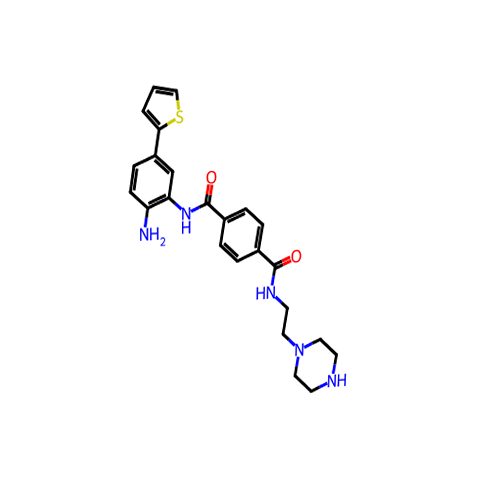 Nc1ccc(-c2cccs2)cc1NC(=O)c1ccc(C(=O)NCCN2CCNCC2)cc1